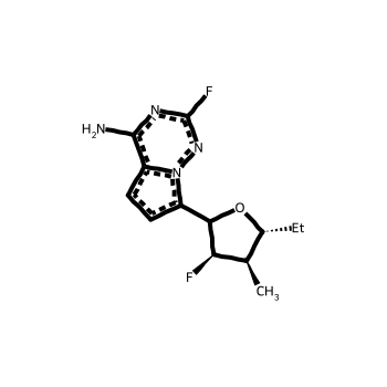 CC[C@H]1OC(c2ccc3c(N)nc(F)nn23)[C@H](F)[C@@H]1C